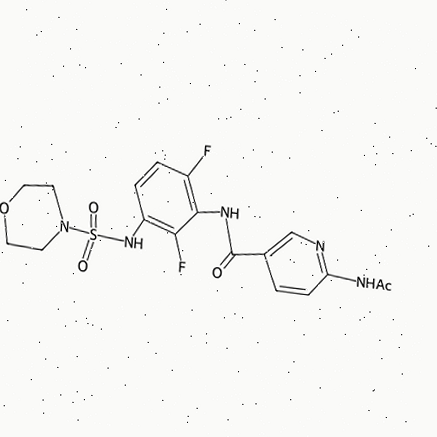 CC(=O)Nc1ccc(C(=O)Nc2c(F)ccc(NS(=O)(=O)N3CCOCC3)c2F)cn1